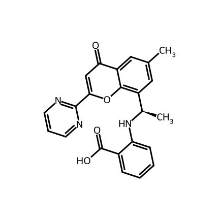 Cc1cc([C@@H](C)Nc2ccccc2C(=O)O)c2oc(-c3ncccn3)cc(=O)c2c1